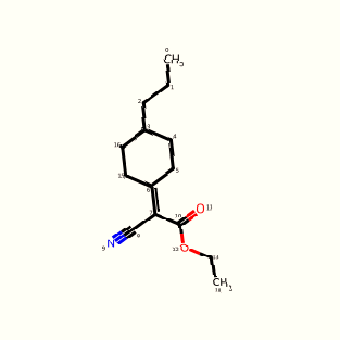 CCCC1CCC(=C(C#N)C(=O)OCC)CC1